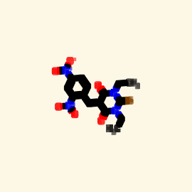 CCN1C(=O)C(=Cc2ccc([N+](=O)[O-])cc2[N+](=O)[O-])C(=O)N(CC)C1=S